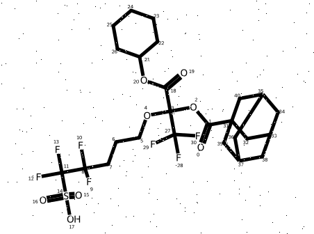 O=C(OC(OCCCC(F)(F)C(F)(F)S(=O)(=O)O)(C(=O)OC1CCCCC1)C(F)(F)F)C12CC3CC(CC(C3)C1)C2